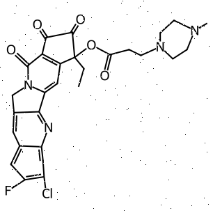 CCC1(OC(=O)CCN2CCN(C)CC2)C(=O)C(=O)c2c1cc1n(c2=O)Cc2cc3cc(F)c(Cl)cc3nc2-1